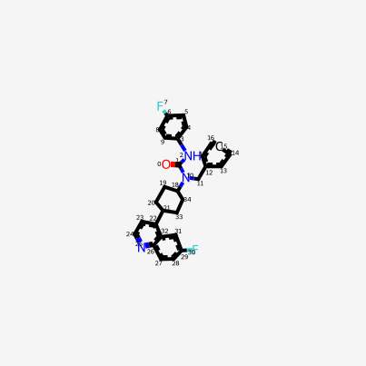 O=C(Nc1ccc(F)cc1)N(Cc1ccccc1)C1CCC(c2ccnc3ccc(F)cc23)CC1